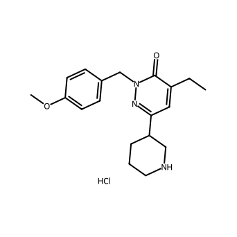 CCc1cc(C2CCCNC2)nn(Cc2ccc(OC)cc2)c1=O.Cl